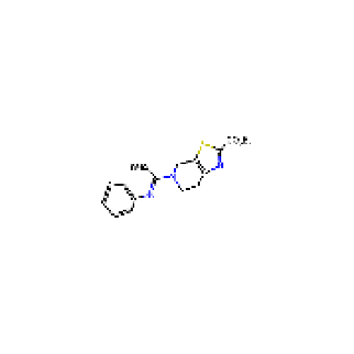 CCOC(=O)c1nc2c(s1)CN(/C(=N/c1ccccc1)SC)CC2